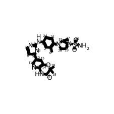 Cc1cc(Nc2nccc(-c3cnc4c(c3)OC(C)(C)C(=O)N4)n2)ccc1N1CC2CC1CN2S(N)(=O)=O